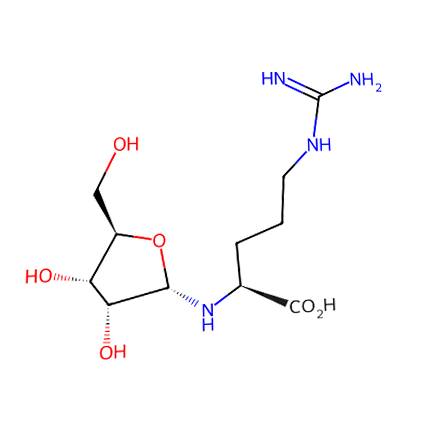 N=C(N)NCCC[C@H](N[C@H]1O[C@H](CO)[C@@H](O)[C@H]1O)C(=O)O